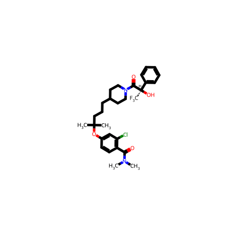 CN(C)C(=O)c1ccc(OC(C)(C)CCCC2CCN(C(=O)[C@](O)(c3ccccc3)C(F)(F)F)CC2)cc1Cl